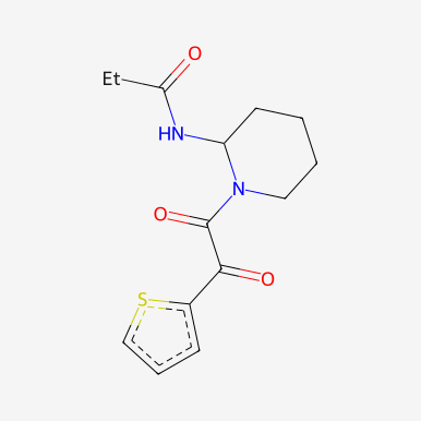 CCC(=O)NC1CCCCN1C(=O)C(=O)c1cccs1